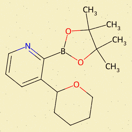 CC1(C)OB(c2ncccc2C2CCCCO2)OC1(C)C